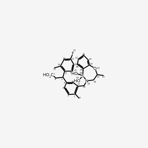 Cc1ccc(C(CC(=O)O)c2ccc(F)cc2C)cc1CN1CC(C)Oc2ccccc2S1(O)O